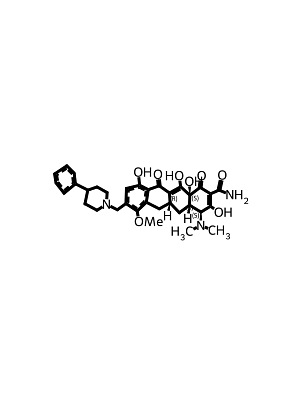 COc1c(CN2CCC(c3ccccc3)CC2)cc(O)c2c1C[C@H]1C[C@H]3[C@H](N(C)C)C(O)=C(C(N)=O)C(=O)[C@@]3(O)C(O)=C1C2=O